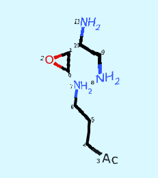 C1CO1.CC(=O)CCCN.NCCN